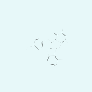 CCc1cccc2c1N(Cc1c(Cl)cc(Cl)c(=O)n1CCc1ccc(C(=O)O)cc1)CC2